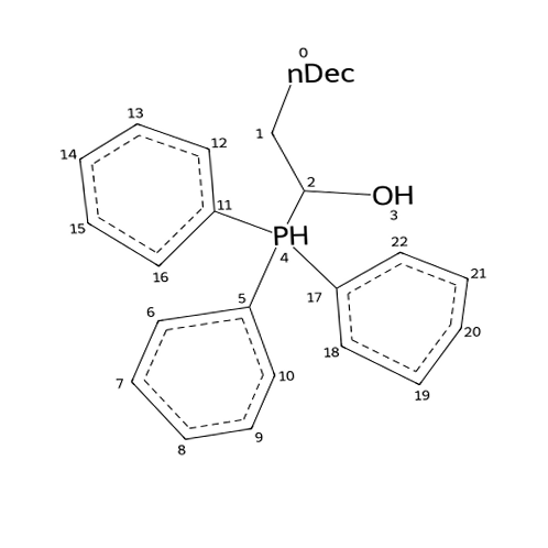 CCCCCCCCCCCC(O)[PH](c1ccccc1)(c1ccccc1)c1ccccc1